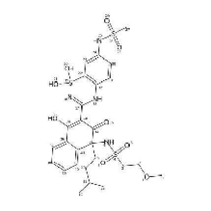 COCCS(=O)(=O)NC1(CCC(C)C)C(=O)C(C2=NS(O)(O)c3cc(NS(C)(=O)=O)ccc3N2)=C(O)c2ccccc21